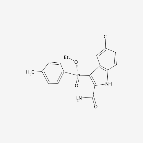 CCO[P@](=O)(c1ccc(C)cc1)c1c(C(N)=O)[nH]c2ccc(Cl)cc12